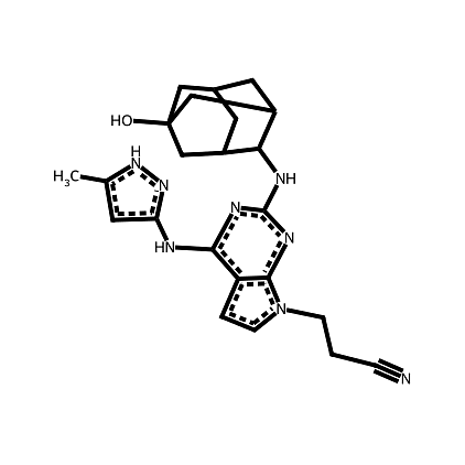 Cc1cc(Nc2nc(NC3C4CC5CC3CC(O)(C5)C4)nc3c2ccn3CCC#N)n[nH]1